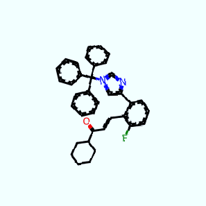 O=C(/C=C/c1c(F)cccc1-c1cn(C(c2ccccc2)(c2ccccc2)c2ccccc2)cn1)C1CCCCC1